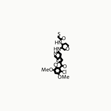 COc1cc(OC)c(Cl)c(C(=O)c2cc3cc(NC4COCCC4NC(=O)C=S)ncc3s2)c1Cl